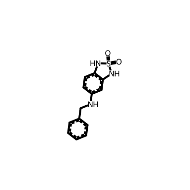 O=S1(=O)Nc2ccc(NCc3ccccc3)cc2N1